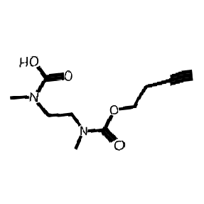 C#CCCOC(=O)N(C)CCN(C)C(=O)O